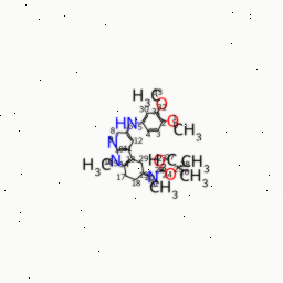 COc1ccc(Nc2cnc3c(c2)c2c(n3C)CCC(N(C)C(=O)OC(C)(C)C)C2)cc1OC